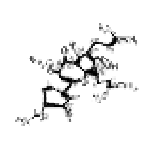 CCOc1ccc(-c2oc3c(CC=C(C)C)c(O)c(CC=C(C)C)c(O)c3c(=O)c2OC)cc1F